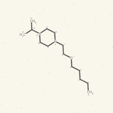 CCCCCOCCN1CCN(C(C)C)CC1